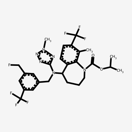 Cc1c(C(F)(F)F)ccc2c1N(C(=O)OC(C)C)CCCC2N(Cc1cc(CF)cc(C(F)(F)F)c1)c1nnn(C)n1